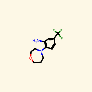 Nc1cc(C(F)(F)F)ccc1N1CCCOCC1